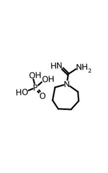 N=C(N)N1CCCCCC1.O=P(O)(O)O